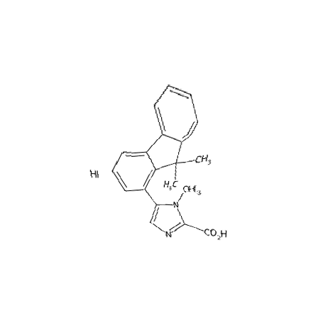 Cn1c(-c2cccc3c2C(C)(C)c2ccccc2-3)cnc1C(=O)O.I